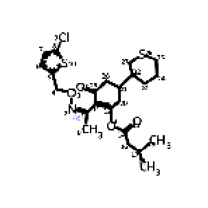 C/C(=N/OCc1ccc(Cl)s1)C1=C(OC(=O)CC(C)C)CC(C2CCCSC2)CC1=O